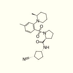 Cc1ccc(S(=O)(=O)N2CCC[C@H]2C(=O)N[C@@H]2CC[C@H](C#N)C2)c(N2CCCC[C@@H]2C)c1